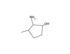 CC1CCC(O)C1N